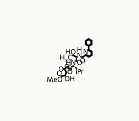 COC(=O)[C@H](O)[C@H]1OB([C@H](CC(C)C)NC(=O)C(NC(=O)c2cccc(-c3ccccc3)n2)[C@@H](C)O)OC1=O